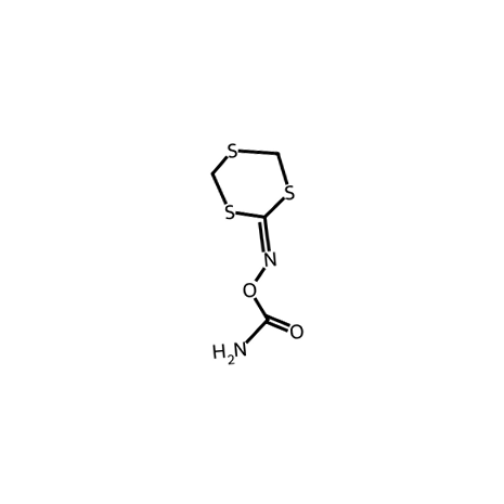 NC(=O)ON=C1SCSCS1